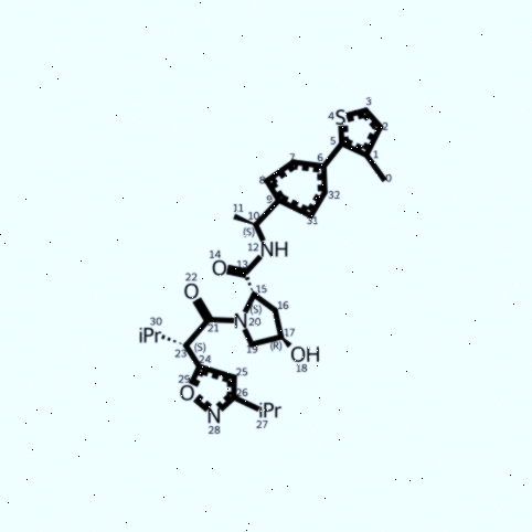 Cc1ccsc1-c1ccc([C@H](C)NC(=O)[C@@H]2C[C@@H](O)CN2C(=O)[C@H](c2cc(C(C)C)no2)C(C)C)cc1